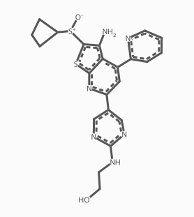 Nc1c([S+]([O-])C2CCC2)sc2nc(-c3cnc(NCCO)nc3)cc(-c3ccccn3)c12